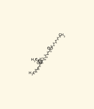 CCCCCCCCCOC(=O)CCCCCCCN(CCCCCCCC)C[C@@H](C)O